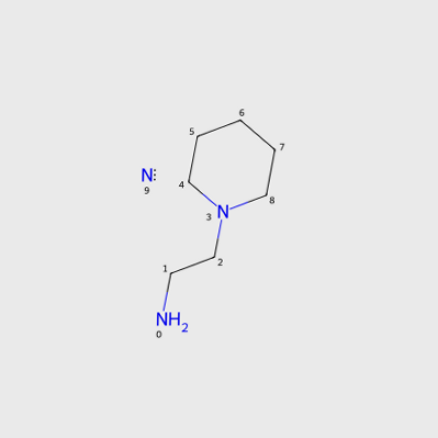 NCCN1CCCCC1.[N]